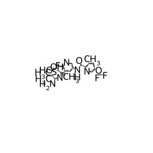 Cc1cc(OC(F)F)cnc1C(=O)Nc1cnc(F)c([C@]2(C)CS(O)(O)C(C)(C)C(N)=N2)c1